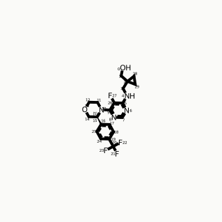 OCC1(CNc2ncnc(N3CCOC[C@@H]3c3ccc(C(F)(F)F)cc3)c2F)CC1